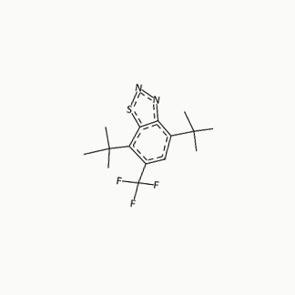 CC(C)(C)c1cc(C(F)(F)F)c(C(C)(C)C)c2snnc12